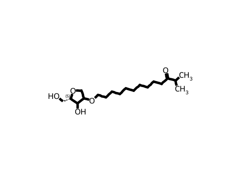 CC(C)C(=O)CCCCCCCCCCOC1CO[C@@H](CO)C1O